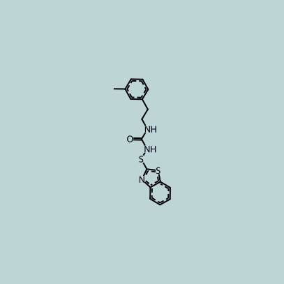 Cc1cccc(CCNC(=O)NSc2nc3ccccc3s2)c1